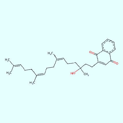 CC(C)=CCCC(C)=CCCC(C)=CCCC(C)(O)CCC1=CC(=O)c2ccccc2C1=O